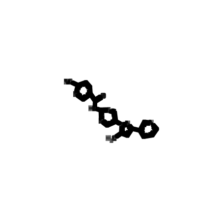 Cc1cc(-c2cccnc2)nn1-c1ccc(NC(=O)c2ccc(C#N)nc2)nc1